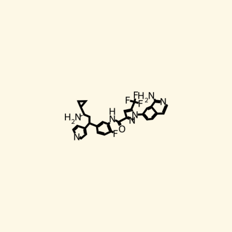 Nc1nccc2ccc(-n3nc(C(=O)Nc4cc(C(C[C@H](N)C5CC5)c5ccncc5)ccc4F)cc3C(F)(F)F)cc12